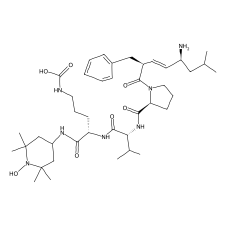 CC(C)C[C@H](N)/C=C/[C@H](Cc1ccccc1)C(=O)N1CCC[C@H]1C(=O)N[C@@H](C(=O)N[C@@H](CCCNC(=O)O)C(=O)NC1CC(C)(C)N(O)C(C)(C)C1)C(C)C